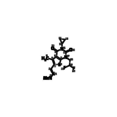 CN/N=C/c1sc2c(c1C)c(=O)n(C1CC1)c(=O)n2CC(F)F